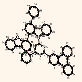 c1ccc(-c2nc(-c3ccc4c5ccccc5c5ccccc5c4c3)nc(-n3c4ccccc4c4c(-c5ccccc5)ccc(-c5cccc6c5oc5ccccc56)c43)n2)cc1